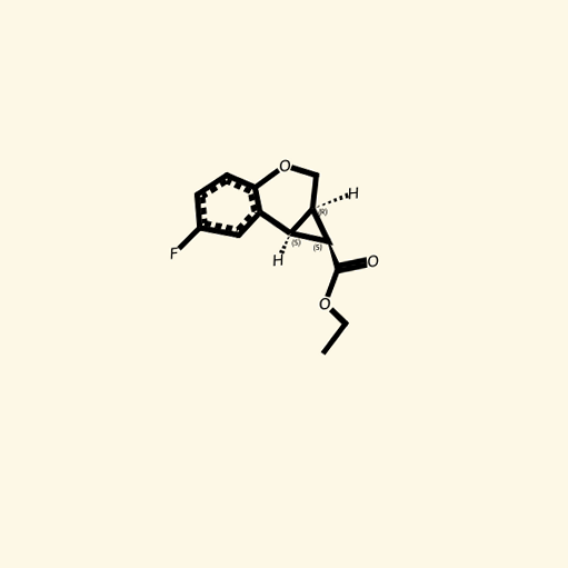 CCOC(=O)[C@@H]1[C@@H]2COc3ccc(F)cc3[C@@H]21